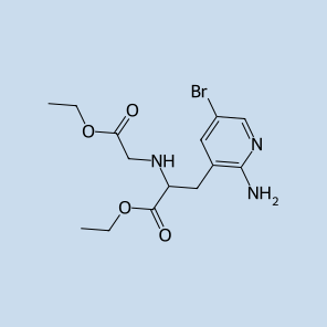 CCOC(=O)CNC(Cc1cc(Br)cnc1N)C(=O)OCC